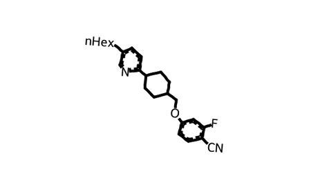 CCCCCCc1ccc(C2CCC(COc3ccc(C#N)c(F)c3)CC2)nc1